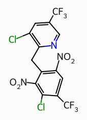 O=[N+]([O-])c1cc(C(F)(F)F)c(Cl)c([N+](=O)[O-])c1Cc1ncc(C(F)(F)F)cc1Cl